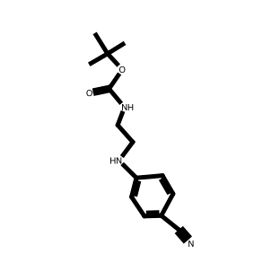 CC(C)(C)OC(=O)NCCNc1ccc(C#N)cc1